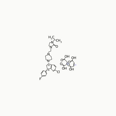 CC(C)N1CCN(CCN2CCN([C@H]3C[C@H](c4ccc(F)cc4)c4cc(Cl)ccc43)CC2)C1=O.O=C(O)/C=C\C(=O)O.O=C(O)/C=C\C(=O)O